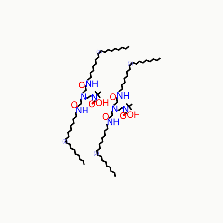 CCCCCCCC/C=C\CCCCCCCCNC(=O)CCN(CCC(=O)NCCCCCCCC/C=C\CCCCCCCC)CCN(C(=O)O)C(C)(C)C.CCCCCCCC/C=C\CCCCCCCCNC(=O)CCN(CCC(=O)NCCCCCCCC/C=C\CCCCCCCC)CCN(C(=O)O)C(C)(C)C